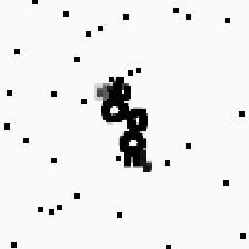 CCC(=O)NC1CCCCCC(C2CCCCC(C3CCCC(P)CCC3)C2)CC1